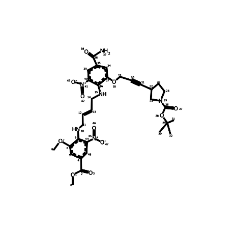 COC(=O)c1cc(OC)c(NC/C=C/CNc2c(OCC#CC3CCN(C(=O)OC(C)(C)C)C3)cc(C(N)=O)cc2[N+](=O)[O-])c([N+](=O)[O-])c1